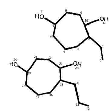 CCC1CCCC(O)CCC1O.CCCC1CCCC(O)CCC1O